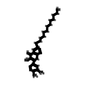 Cc1ccc(-c2oc3ccc(CCCCCCCCCCCCO)cc3c(=O)c2O)cc1C